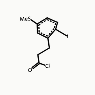 CSc1ccc(I)c(CCC(=O)Cl)c1